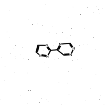 [c]1cnc(-c2cnncn2)nn1